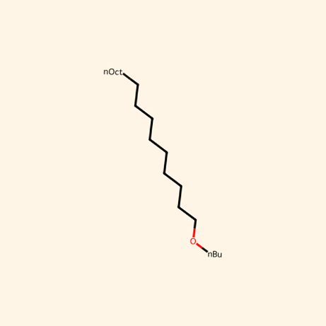 [CH2]CCCCCCCCCCCCCCCCOCCC[CH2]